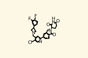 O=C1CCC(N2Cc3cc(-c4cc(CN5CC(c6ccc(F)c(F)c6)C5)c(Cl)cn4)ccc3C2=O)C(=O)N1